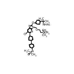 CC(=O)NC(C)(C)c1ccc(Oc2nc3cc(Cl)c(-c4ccc(-c5ccc(N=S(C)(C)=O)cc5)cc4)nc3n2COCC[Si](C)(C)C)cc1